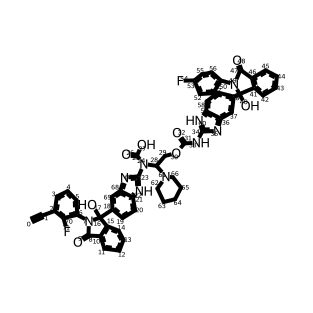 C#Cc1cccc(N2C(=O)c3ccccc3C2(O)c2ccc3[nH]c(N(C(=O)O)C(COC(=O)Nc4nc5cc(C6(O)c7ccccc7C(=O)N6c6ccc(F)cc6)ccc5[nH]4)N4CCCCC4)nc3c2)c1F